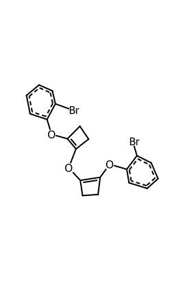 Brc1ccccc1OC1=C(OC2=C(Oc3ccccc3Br)CC2)CC1